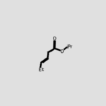 CCC=CCC(=O)OC(C)C